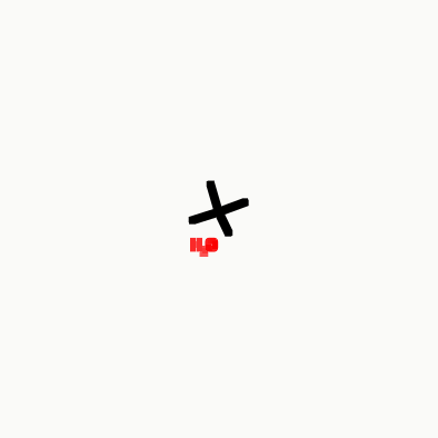 CC(C)(C)C.O